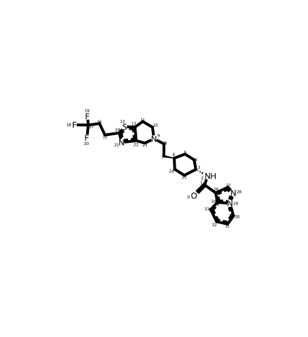 O=C(N[C@H]1CC[C@H](CCN2CCc3sc(CCC(F)(F)F)nc3C2)CC1)c1cnn2ccccc12